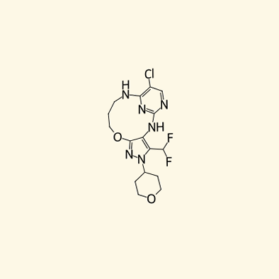 FC(F)c1c2c(nn1C1CCOCC1)OCCCNc1nc(ncc1Cl)N2